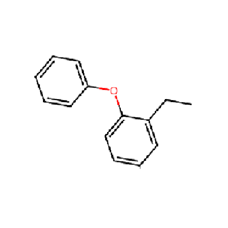 CCc1c[c]ccc1Oc1ccccc1